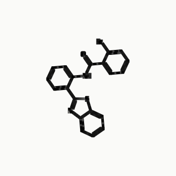 O=C(Nc1ccccc1-c1nc2ccccc2s1)c1ccccc1Br